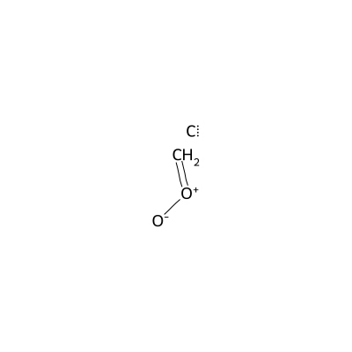 C=[O+][O-].[C]